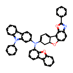 C1=C2c3c(ccc4nc(-c5ccccc5)oc34)OC2CC(N(c2ccc3c4ccccc4n(-c4ccccc4)c3c2)c2cccc3c2oc2ccccc23)=C1